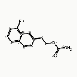 NC(=O)OCCc1ccc2cccc(F)c2c1